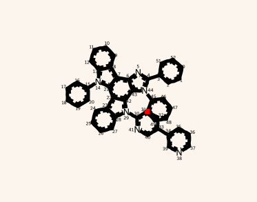 c1ccc(-c2nc3c4c5ccccc5n(-c5ccccc5)c4c4c5ccccc5n(-c5ccc(-c6cccnc6)cn5)c4c3n2-c2ccccc2)cc1